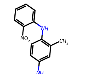 Cc1cc(N)ccc1Nc1ccccc1[N+](=O)[O-]